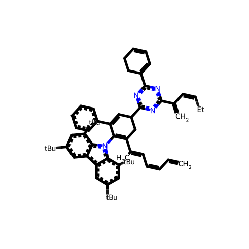 C=C/C=C\C=C(/C)C1=C(n2c3c(C(C)(C)C)cc(C(C)(C)C)cc3c3cc(C(C)(C)C)cc(C(C)(C)C)c32)C(c2ccccc2)=CC(c2nc(C(=C)/C=C\CC)nc(C3=CC=CCC3)n2)C1